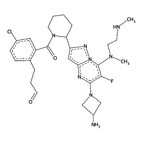 CNCCN(C)c1c(F)c(N2CC(N)C2)nc2cc(C3CCCCN3C(=O)c3cc(Cl)ccc3CCC=O)nn12